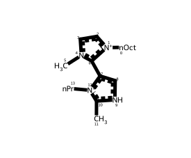 CCCCCCCC[n+]1ccn(C)c1-c1c[nH]c(C)[n+]1CCC